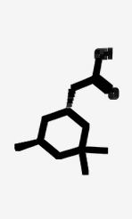 C[C@H]1C[C@H](CC(=O)O)CC(C)(C)C1